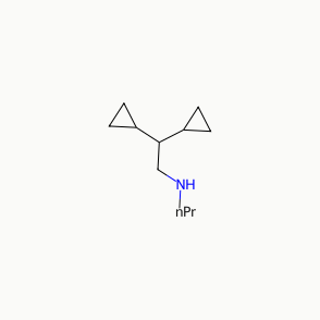 CCCNCC(C1CC1)C1CC1